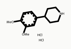 COc1ccc(C2CCNCC2)cc1OC.Cl.Cl